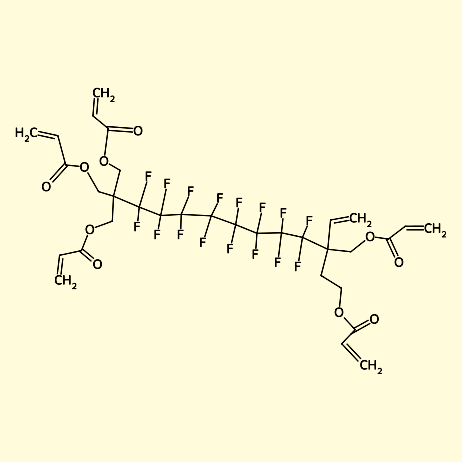 C=CC(=O)OCCC(C=C)(COC(=O)C=C)C(F)(F)C(F)(F)C(F)(F)C(F)(F)C(F)(F)C(F)(F)C(F)(F)C(F)(F)C(COC(=O)C=C)(COC(=O)C=C)COC(=O)C=C